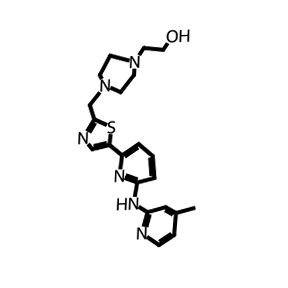 Cc1ccnc(Nc2cccc(-c3cnc(CN4CCN(CCO)CC4)s3)n2)c1